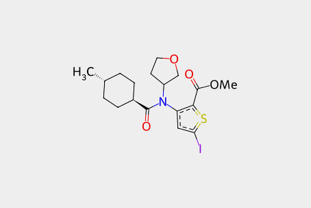 COC(=O)c1sc(I)cc1N(C(=O)[C@H]1CC[C@H](C)CC1)C1CCOC1